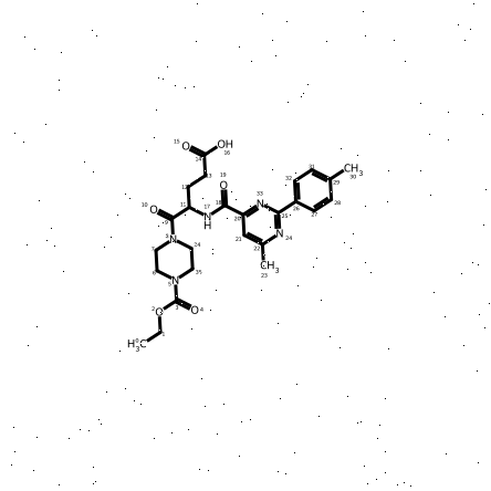 CCOC(=O)N1CCN(C(=O)C(CCC(=O)O)NC(=O)c2cc(C)nc(-c3ccc(C)cc3)n2)CC1